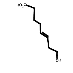 O=C(O)CCCC=CCCO